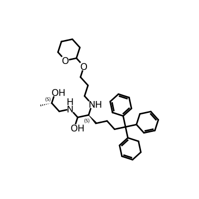 C[C@H](O)CNC(O)[C@H](CCCC(C1=CC=CCC1)(c1ccccc1)C1C=CC=CC1)NCCCOC1CCCCO1